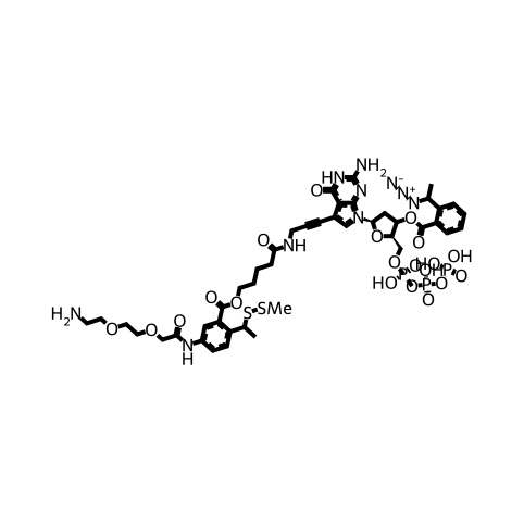 CSSC(C)c1ccc(NC(=O)COCCOCCN)cc1C(=O)OCCCCC(=O)NCC#Cc1cn([C@H]2CC(OC(=O)c3ccccc3C(C)N=[N+]=[N-])[C@@H](COP(=O)(O)OP(=O)(O)OP(=O)(O)O)O2)c2nc(N)[nH]c(=O)c12